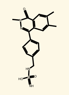 Cc1cc2c(-c3ccc(CNS(=N)(=O)O)cc3)nn(C)c(=O)c2cc1C